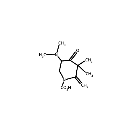 C=C1N(C(=O)O)CC(N(C)C)C(=O)C1(C)C